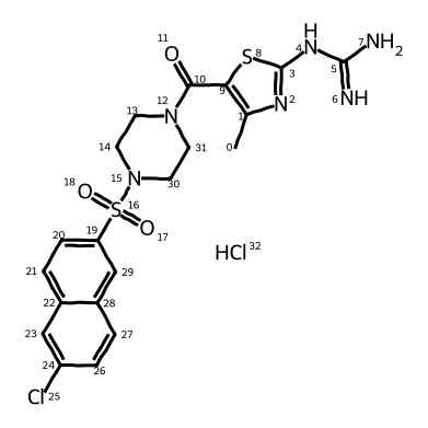 Cc1nc(NC(=N)N)sc1C(=O)N1CCN(S(=O)(=O)c2ccc3cc(Cl)ccc3c2)CC1.Cl